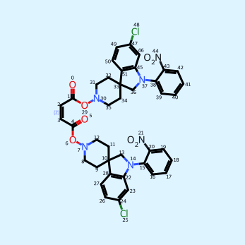 O=C(/C=C\C(=O)ON1CCC2(CC1)CN(c1ccccc1[N+](=O)[O-])c1cc(Cl)ccc12)ON1CCC2(CC1)CN(c1ccccc1[N+](=O)[O-])c1cc(Cl)ccc12